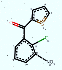 O=C(c1cccs1)c1cccc([N+](=O)[O-])c1Cl